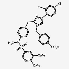 COc1ccc(S(=O)(=O)N(C)c2ccc(Cc3nc(-c4ccc(Cl)cc4Cl)cn3Cc3ccc(C(=O)O)cc3)cc2)cc1OC